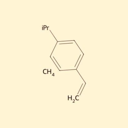 C.C=Cc1ccc(C(C)C)cc1